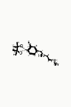 CC(C)NCCNCc1ccc(B2OC(C)(C)C(C)(C)O2)c(F)c1